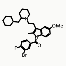 COc1ccc2c(c1)c(CCN1CCCCC1CC1CCCCC1)c(C)n2C(=O)c1ccc(F)c(Br)c1